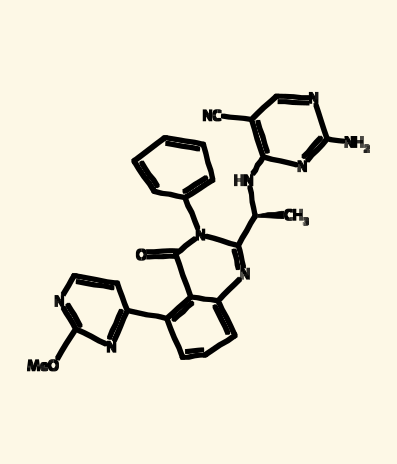 COc1nccc(-c2cccc3nc([C@H](C)Nc4nc(N)ncc4C#N)n(-c4ccccc4)c(=O)c23)n1